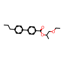 CCCc1ccc(-c2ccc(C(=O)OC(C)COCC)cc2)cc1